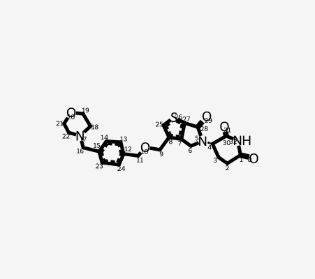 O=C1CC[C@H](N2Cc3c(COCc4ccc(CN5CCOCC5)cc4)csc3C2=O)C(=O)N1